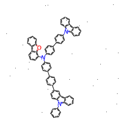 c1ccc(-n2c3ccccc3c3cc(-c4ccc(-c5ccc(N(c6ccc(-c7ccc(-n8c9ccccc9c9ccccc98)cc7)cc6)c6cccc7c6oc6ccccc67)cc5)cc4)ccc32)cc1